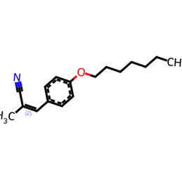 CCCCCCCOc1ccc(/C=C(/C)C#N)cc1